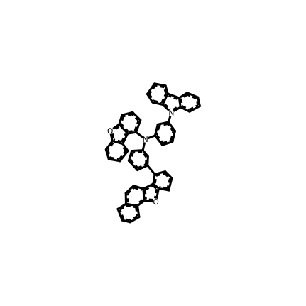 c1cc(-c2cccc3oc4c5ccccc5ccc4c23)cc(N(c2cccc(-n3c4ccccc4c4ccccc43)c2)c2cccc3oc4ccccc4c23)c1